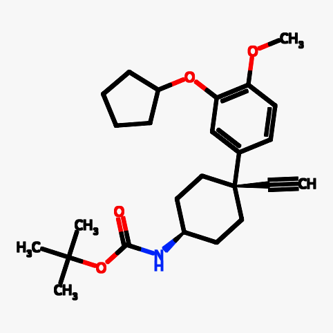 C#C[C@]1(c2ccc(OC)c(OC3CCCC3)c2)CC[C@H](NC(=O)OC(C)(C)C)CC1